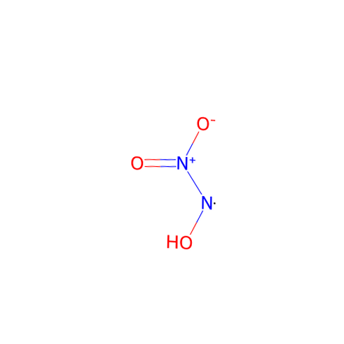 O=[N+]([O-])[N]O